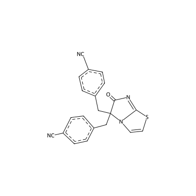 N#Cc1ccc(CC2(Cc3ccc(C#N)cc3)C(=O)N=C3SC=CN32)cc1